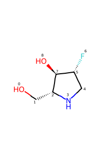 OC[C@H]1NC[C@@H](F)[C@@H]1O